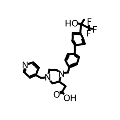 CC(O)(c1ccc(-c2ccc(CN3CCN(Cc4ccncc4)CC3CC(=O)O)cc2)cc1)C(F)(F)F